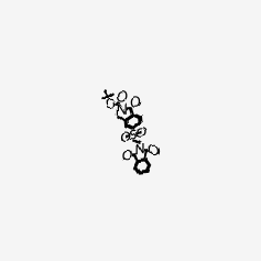 CC(C)(C)OC(=O)N1Cc2cc(S(=O)(=O)CCN3C(=O)c4ccccc4C3=O)ccc2C1=O